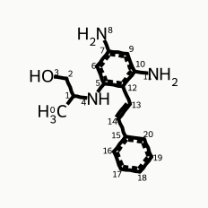 CC(CO)Nc1cc(N)cc(N)c1C=Cc1ccccc1